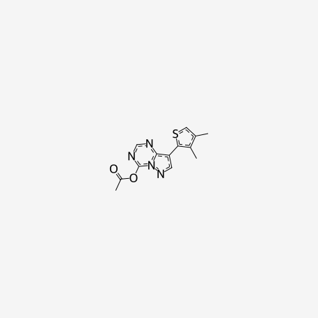 CC(=O)Oc1ncnc2c(-c3scc(C)c3C)cnn12